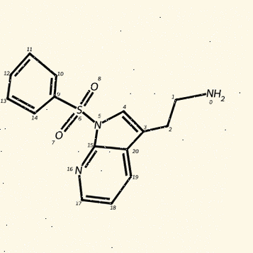 NCCc1cn(S(=O)(=O)c2ccccc2)c2ncccc12